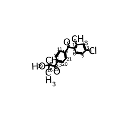 Cc1cc(Cl)ccc1C(=O)c1ccc(C(=O)C(C)(C)O)cc1